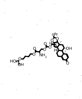 CCCC1O[C@@H]2CC3[C@@H]4CCC5=CC(=O)C=C[C@]5(C)C4[C@@H](O)C[C@]3(C)[C@]2(C(=O)COC(=O)OCC(N)C(=O)OCCCCON(O)O)O1